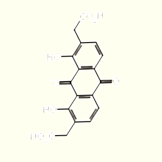 O=C(O)Cc1ccc2c(c1O)C(=O)c1c(ccc(CC(=O)O)c1O)C2=O